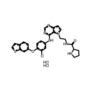 Cl.Cl.O=C(NCCn1ccc2ncnc(Nc3ccc(Oc4ccc5ccsc5c4)c(Cl)c3)c21)C1CCCN1